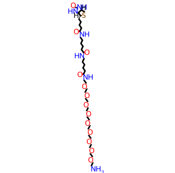 NCCOCCOCCOCCOCCOCCOCCOCCOCCOCCNC(=O)CCCCCNC(=O)CCCCCNC(=O)CCCC[C@@H]1SC[C@@H]2NC(=O)N[C@@H]21